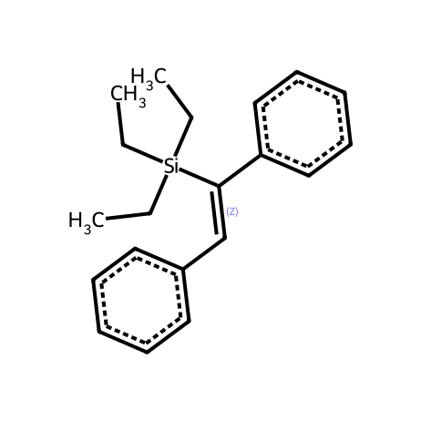 CC[Si](CC)(CC)/C(=C\c1ccccc1)c1ccccc1